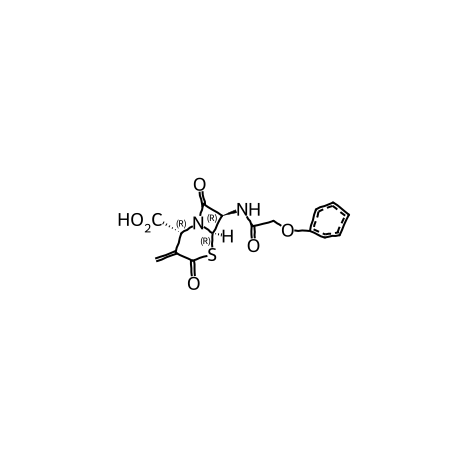 C=C1C(=O)S[C@@H]2[C@H](NC(=O)COc3ccccc3)C(=O)N2[C@H]1C(=O)O